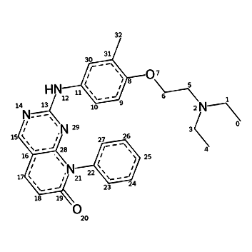 CCN(CC)CCOc1ccc(Nc2ncc3ccc(=O)n(-c4ccccc4)c3n2)cc1C